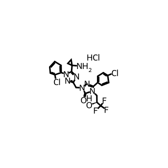 Cl.NC1(c2nc(Cn3nc(-c4ccc(Cl)cc4)n(C[C@H](O)C(F)(F)F)c3=O)nn2-c2ccccc2Cl)CC1